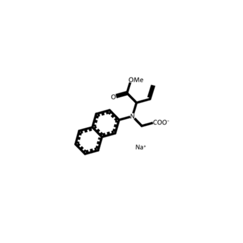 C=CC(C(=O)OC)N(CC(=O)[O-])c1ccc2ccccc2c1.[Na+]